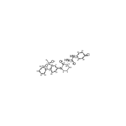 CS(=O)(=O)c1cc(N2CCC[C@@H](NC(=O)Nc3ccc(Cl)cc3)C2=O)ccc1-c1ccccc1